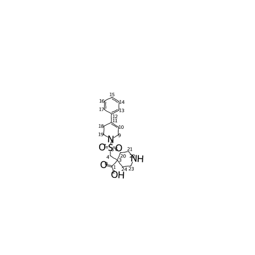 O=C(O)C1(CS(=O)(=O)N2CC=C(c3ccccc3)CC2)CCNCC1